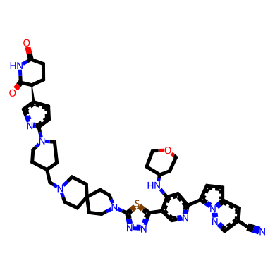 N#Cc1cnn2c(-c3cc(NC4CCOCC4)c(-c4nnc(N5CCC6(CCN(CC7CCN(c8ccc([C@@H]9CCC(=O)NC9=O)cn8)CC7)CC6)CC5)s4)cn3)ccc2c1